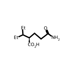 CCC(CC)[C@@H](CCC(N)=O)C(=O)O